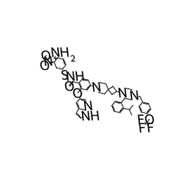 CC(C)c1ccccc1C1CN(Cc2ccc(OC(F)(F)F)cc2)CCN1C1CC2(CCN(c3ccc(C(=O)NSC4C=CC(N)C([N+](=O)[O-])C4)c(Oc4cnc5[nH]ccc5c4)c3)CC2)C1